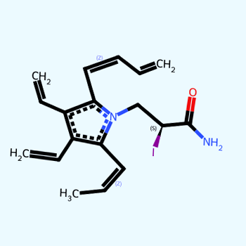 C=C/C=C\c1c(C=C)c(C=C)c(/C=C\C)n1C[C@H](I)C(N)=O